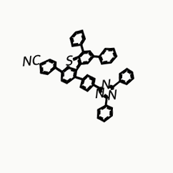 N#Cc1ccc(-c2ccc(-c3ccc(-c4nc(-c5ccccc5)nc(-c5ccccc5)n4)cc3)c3c2sc2c(-c4ccccc4)cc(-c4ccccc4)cc23)cc1